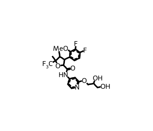 COc1c(C2C(C(=O)Nc3ccnc(OCC(O)CO)c3)OC(C)(C(F)(F)F)C2C)ccc(F)c1F